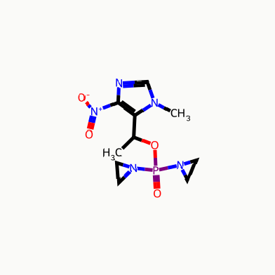 CC(OP(=O)(N1CC1)N1CC1)c1c([N+](=O)[O-])ncn1C